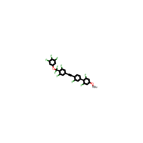 CCCCOc1cc(F)c(-c2ccc(C#Cc3cc(F)c(C(F)(F)Oc4cc(F)c(F)c(F)c4)c(F)c3)c(F)c2)c(F)c1